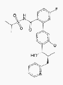 CC(C)S(=O)(=O)NC(=O)c1ccc(F)cc1-c1ccc2c(c1)OC[C@@H](Cc1ccccn1)[C@@H]2O